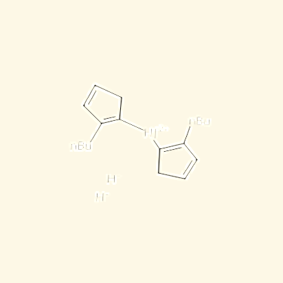 CCCCC1=[C]([Hf+2][C]2=C(CCCC)C=CC2)CC=C1.[H-].[H-]